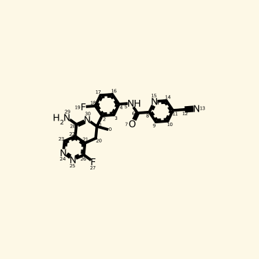 CC1(c2cc(NC(=O)c3ccc(C#N)cn3)ccc2F)Cc2c(cnnc2F)C(N)=N1